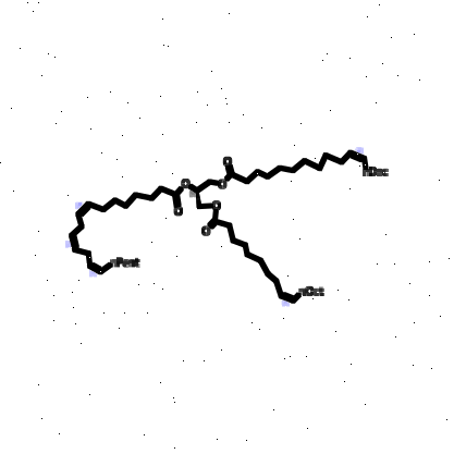 CCCCC/C=C\C/C=C\C/C=C\CCCCCCC(=O)O[C@H](COC(=O)CCCCCCC/C=C\CCCCCCCC)COC(=O)CCCCCCCCC/C=C\CCCCCCCCCC